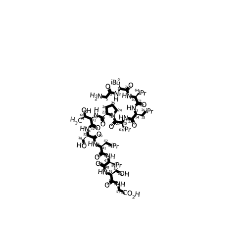 CC[C@H](C)[C@H](NC(=O)CN)C(=O)N[C@H](C(=O)N[C@@H](CC(C)C)C(=O)N[C@H](C(=O)N1CCC[C@H]1C(=O)N[C@H](C(=O)N[C@@H](CO)C(=O)N[C@@H](CC(C)C)C(=O)N[C@H](C(=O)N[C@@H](CO)C(=O)NCC(=O)O)C(C)C)[C@@H](C)O)C(C)C)C(C)C